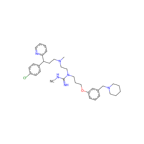 CN(CCC(c1ccc(Cl)cc1)c1ccccn1)CCN(CCCOc1cccc(CN2CCCCC2)c1)C(=N)NC#N